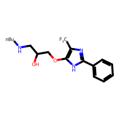 CCCCNCC(O)COc1[nH]c(-c2ccccc2)nc1C(F)(F)F